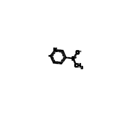 C[S+]([O-])c1cc[c]nc1